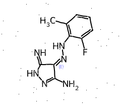 Cc1cccc(F)c1N/N=C1\C(=N)NN=C1N